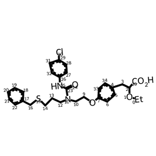 CCOC(Cc1ccc(OCCN(CCCSCc2ccccc2)C(=O)Nc2ccc(Cl)cc2)cc1)C(=O)O